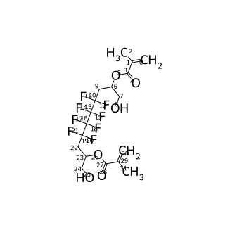 C=C(C)C(=O)OC(CO)CC(F)(F)C(F)(F)C(F)(F)C(F)(F)CC(CO)OC(=O)C(=C)C